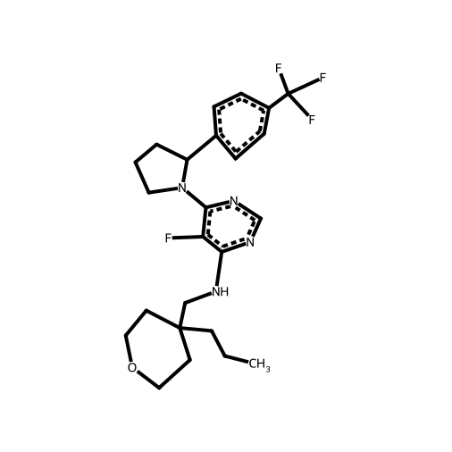 CCCC1(CNc2ncnc(N3CCCC3c3ccc(C(F)(F)F)cc3)c2F)CCOCC1